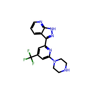 FC(F)(F)c1cc(-c2n[nH]c3ncccc23)nc(N2CCNCC2)c1